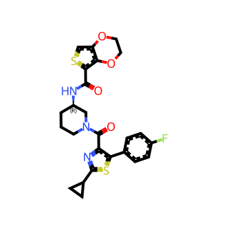 O=C(N[C@@H]1CCCN(C(=O)c2nc(C3CC3)sc2-c2ccc(F)cc2)C1)c1scc2c1OCCO2